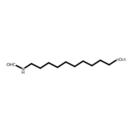 CCCCCCCCCCCCCCCCCCN[C]=O